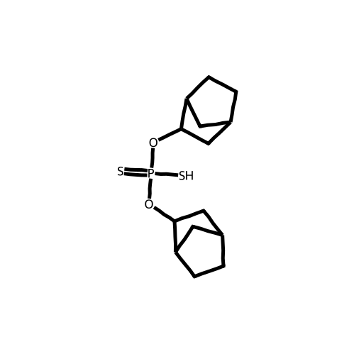 S=P(S)(OC1CC2CCC1C2)OC1CC2CCC1C2